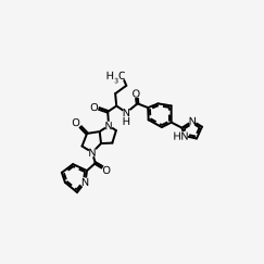 CCCC(NC(=O)c1ccc(-c2ncc[nH]2)cc1)C(=O)N1CCC2C1C(=O)CN2C(=O)c1ccccn1